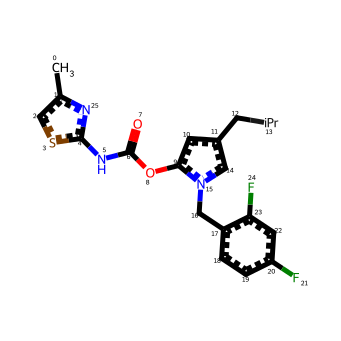 Cc1csc(NC(=O)Oc2cc(CC(C)C)cn2Cc2ccc(F)cc2F)n1